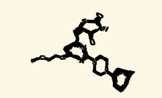 COCCOc1cc(C=C2SC(=O)NC2=O)nc(N2CCN(c3ccccc3)CC2)n1